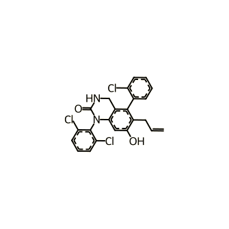 C=CCc1c(O)cc2c(c1-c1ccccc1Cl)CNC(=O)N2c1c(Cl)cccc1Cl